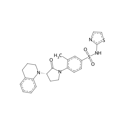 Cc1cc(S(=O)(=O)Nc2nccs2)ccc1N1CC[C@H](N2CCCc3ccccc32)C1=O